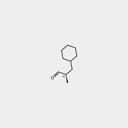 C[C@@H]([C]=O)CC1CCCCC1